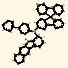 c1ccc(-c2ccc(N(c3ccc4c(c3)-c3ccccc3C43c4ccccc4-c4ccccc43)c3nccc4c3sc3cc5ccccc5cc34)cc2)cc1